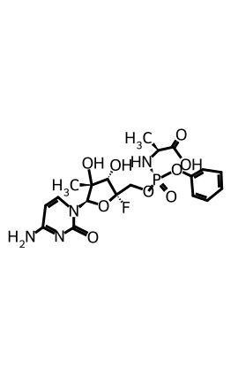 C[C@H](N[P@](=O)(OC[C@@]1(F)O[C@@H](n2ccc(N)nc2=O)[C@](C)(O)[C@@H]1O)Oc1ccccc1)C(=O)O